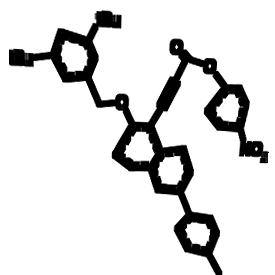 Cc1ccc(-c2ccc3c(C#CC(=O)Oc4ccc([N+](=O)[O-])cc4)c(OCc4cc(C(C)(C)C)cc(C(C)(C)C)c4)ccc3c2)cc1